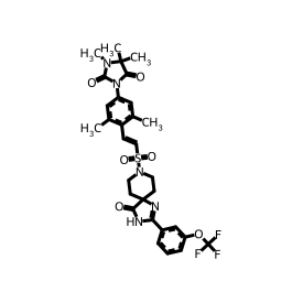 Cc1cc(N2C(=O)N(C)C(C)(C)C2=O)cc(C)c1/C=C/S(=O)(=O)N1CCC2(CC1)N=C(c1cccc(OC(F)(F)F)c1)NC2=O